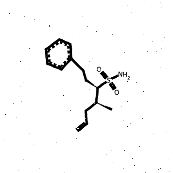 C=CC[C@H](C)[C@@H](CCc1ccccc1)S(N)(=O)=O